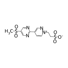 CS(=O)(=O)c1cnc(-c2cc[n+](CCS(=O)(=O)[O-])nc2)nc1